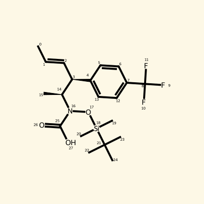 C/C=C/[C@@H](c1ccc(C(F)(F)F)cc1)[C@H](C)N(O[Si](C)(C)C(C)(C)C)C(=O)O